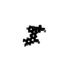 O=[N+]([O-])C1=Cc2cc(NS(=O)(=O)C(F)(F)F)c3ccccc3c2OC1c1cc(F)c(F)cc1F